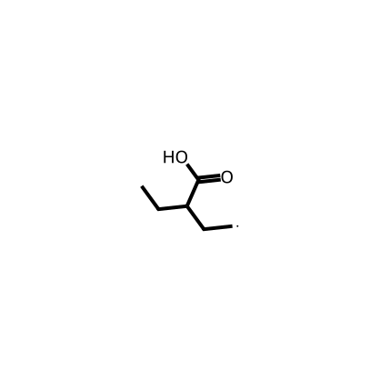 [CH2]CC(CC)C(=O)O